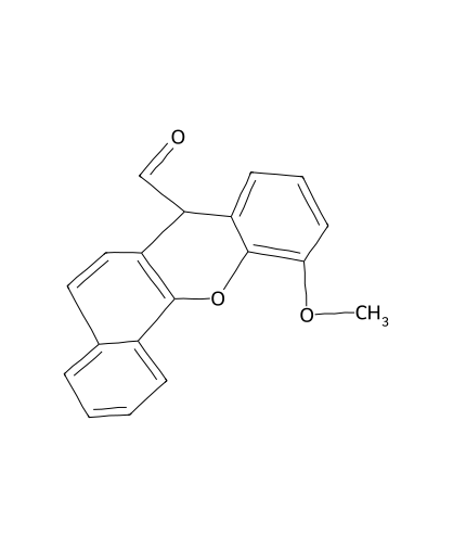 COc1cccc2c1Oc1c(ccc3ccccc13)C2C=O